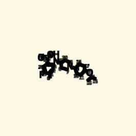 Cc1cc(NC2CCN(C3CCC(OC(C)C)CC3)CC2)c([N+](=O)[O-])cc1F